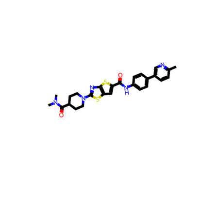 Cc1ccc(-c2ccc(NC(=O)c3cc4sc(N5CCC(C(=O)N(C)C)CC5)nc4s3)cc2)cn1